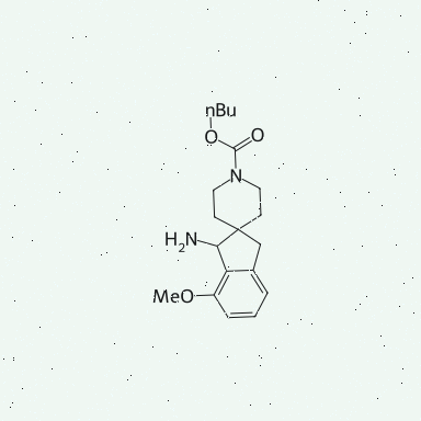 CCCCOC(=O)N1CCC2(CC1)Cc1cccc(OC)c1C2N